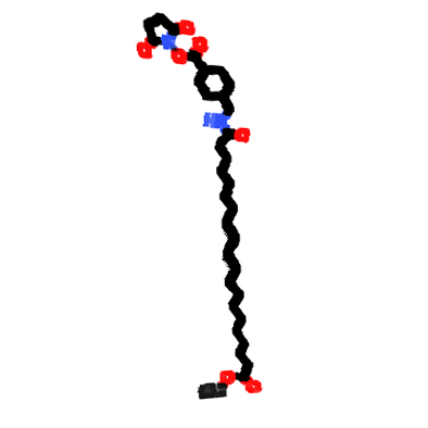 CC(C)(C)OC(=O)CCCCCCCCCCCCCCCCCCC(=O)NCC1CCC(C(=O)ON2C(=O)CCC2=O)CC1